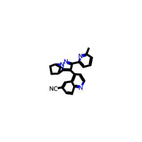 Cc1cccc(-c2nn3c(c2-c2ccnc4ccc(C#N)cc24)C2CCC3C2)n1